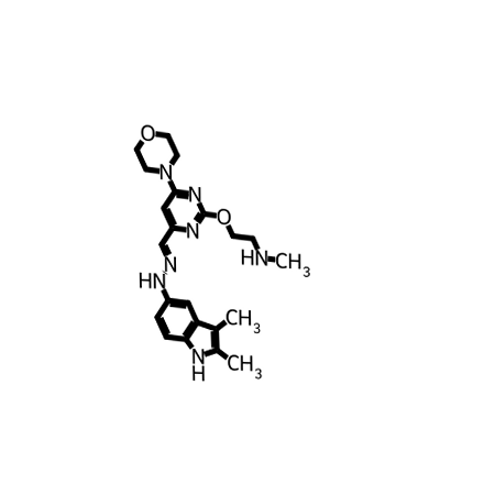 CNCCOc1nc(C=NNc2ccc3[nH]c(C)c(C)c3c2)cc(N2CCOCC2)n1